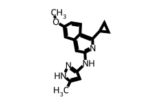 COc1ccc2c(C3CC3)nc(Nc3cc(C)[nH]n3)cc2c1